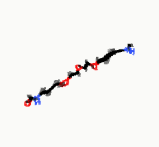 CNCCCOCCOCCOCCCNC=O